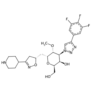 CO[C@@H]1[C@@H](n2cc(-c3cc(F)c(F)c(F)c3)nn2)[C@@H](O)[C@@H](CO)O[C@@H]1C[C@H]1CC(C2CCNCC2)=NO1